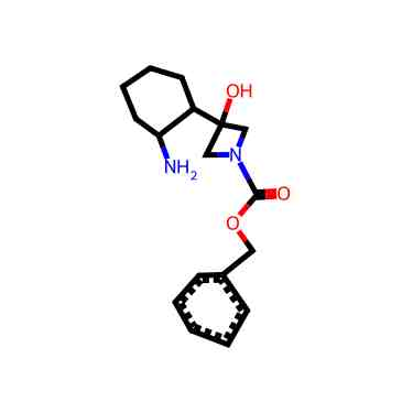 NC1CCCCC1C1(O)CN(C(=O)OCc2ccccc2)C1